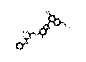 COc1cnc2c(-c3nc4cc(F)c(OCC(C)OC(=O)Nc5cccnc5)nc4s3)cc(C)cc2n1